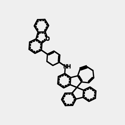 C1#CC2=C(C=CC1)C1(c3ccccc3-c3ccccc31)c1cccc(NC3=CC=C(c4cccc5c4oc4ccccc45)CC3)c12